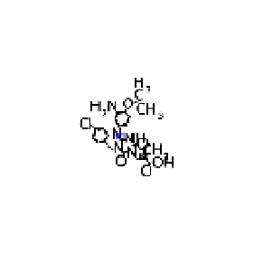 CC(C)Oc1ccc(/N=c2\[nH]c(=O)n(C[C@H](C)C(=O)O)c(=O)n2Cc2ccc(Cl)cc2)cc1N